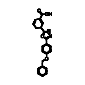 O=C(O)C1=CC(c2nnc(-c3ccc(OCc4ccccc4)cc3)o2)CC=C1